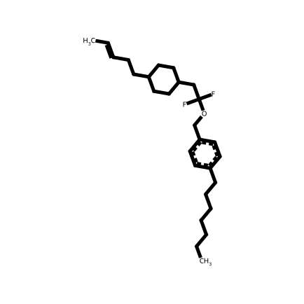 CC=CCCC1CCC(CC(F)(F)OCc2ccc(CCCCCCC)cc2)CC1